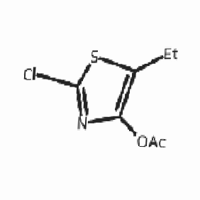 CCc1sc(Cl)nc1OC(C)=O